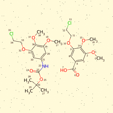 COc1cc(C(=O)O)cc(OCCCl)c1OC.COc1cc(NC(=O)OC(C)(C)C)cc(OCCCl)c1OC